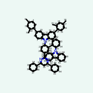 Cc1ccc(-c2ccc3c(c2)c2cc(-c4ccc(C)cc4C)ccc2n3-c2ccc(-c3nc(-c4ccccc4)cc(-c4ccccc4)n3)cc2-c2ccccc2-n2c3ccccc3c3ccccc32)c(C)c1